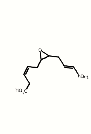 CCCCCCCCC=CCC1OC1C/C=C\CC(=O)O